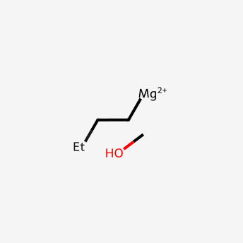 CCC[CH2][Mg+2].CO